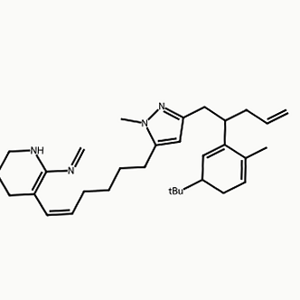 C=CCC(Cc1cc(CCCC/C=C\C2=C(N=C)NCCC2)n(C)n1)C1=CC(C(C)(C)C)CC=C1C